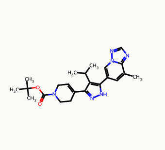 Cc1cc(-c2[nH]nc(C3=CCN(C(=O)OC(C)(C)C)CC3)c2C(C)C)cn2ncnc12